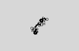 Cc1cccc2c1c(=O)n(CCCC1CN(c3ccc4c(c3)NC(=O)CS4)C(=O)O1)c(=O)n2C